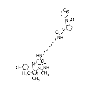 CC(=N)N1C(=N)[C@H](CC(=O)NCCCCCCCCNC(=O)CNc2cccc3c2CN(C2CCCOOC2)C3=O)N=C(c2ccc(Cl)cc2)c2c1sc(C)c2C